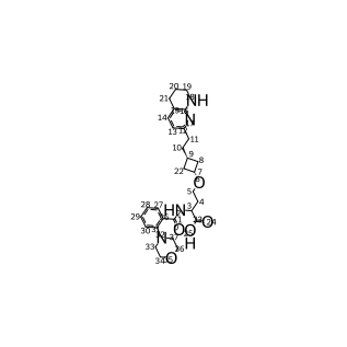 O=C(NC(CCO[C@H]1C[C@H](CCc2ccc3c(n2)NCCC3)C1)C(=O)O)c1ccccc1N1CCOCC1